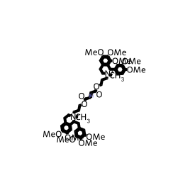 COc1ccc(C2c3c(cc(OC)c(OC)c3OC)CC[N+]2(C)CCCOC(=O)/C=C/C(=O)OCCC[N+]2(C)CCc3cc(OC)c(OC)cc3C2Cc2cc(OC)c(OC)c(OC)c2)cc1OC